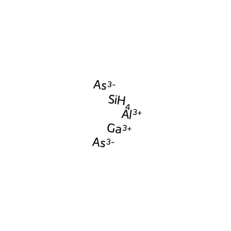 [Al+3].[As-3].[As-3].[Ga+3].[SiH4]